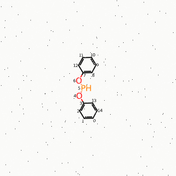 c1ccc(OPOc2ccccc2)cc1